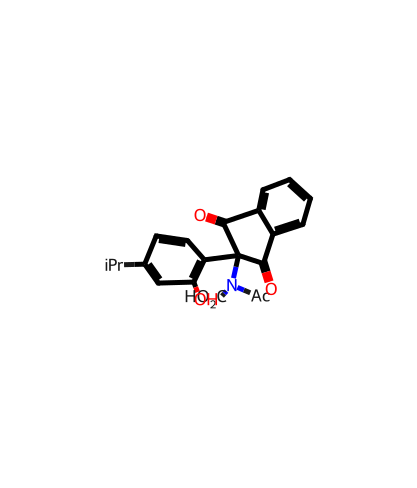 CC(=O)N(C(=O)O)C1(c2ccc(C(C)C)cc2O)C(=O)c2ccccc2C1=O